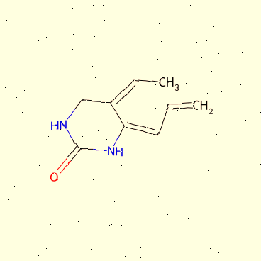 C=C/C=C1/NC(=O)NC/C1=C/C